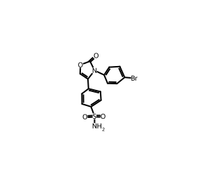 NS(=O)(=O)c1ccc(-c2coc(=O)n2-c2ccc(Br)cc2)cc1